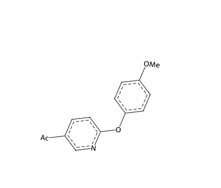 COc1ccc(Oc2ccc(C(C)=O)cn2)cc1